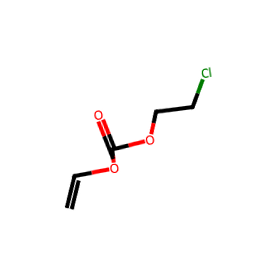 C=COC(=O)OCCCl